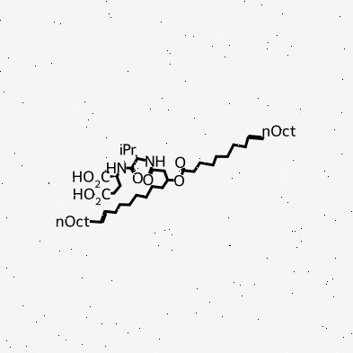 CCCCCCCCC=CCCCCCCCC(=O)OC(CCCCCCCC=CCCCCCCCC)CC(=O)N[C@H](C(=O)N[C@@H](CCC(=O)O)C(=O)O)C(C)C